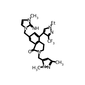 CCn1cc(-c2cc(Cn3ccn(C)c3=N)cc3c2CCN(Cc2cc(C)nn2C)C3=O)c(C(F)(F)F)n1